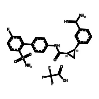 N=C(N)c1cccc([C@H]2C[C@H]2C(=O)Nc2ccc(-c3cc(F)ccc3S(N)(=O)=O)cc2)c1.O=C(O)C(F)(F)F